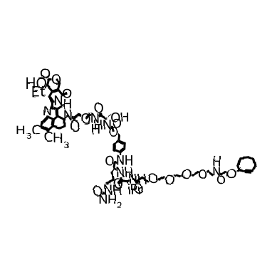 CC[C@@]1(O)C(=O)OCc2c1cc1n(c2=O)Cc2c-1nc1cc(C)c(C)c3c1c2[C@@H](NC(=O)COCNC(=O)[C@H](CO)NC(=O)OCc1ccc(NC(=O)[C@H](CCCNC(N)=O)NC(=O)[C@@H](NC(=O)CCOCCOCCOCCOCCNC(=O)COC2C#CCCCCC2)C(C)C)cc1)CC3